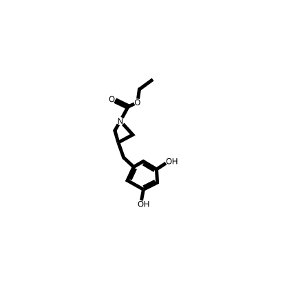 CCOC(=O)N1CC(Cc2cc(O)cc(O)c2)C1